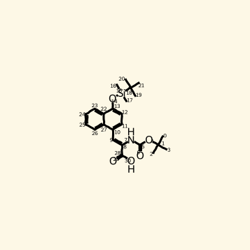 CC(C)(C)OC(=O)NC(=Cc1ccc(O[Si](C)(C)C(C)(C)C)c2ccccc12)C(=O)O